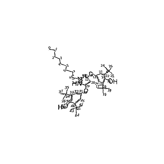 CCCCCCCCSN1N=C(Oc2cc(C(C)(C)C)c(O)c(C(C)(C)C)c2)C=C(Oc2cc(C(C)(C)C)c(O)c(C(C)(C)C)c2)N1